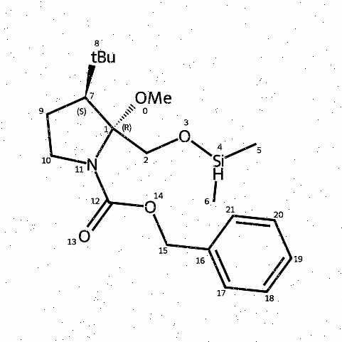 CO[C@@]1(CO[SiH](C)C)[C@H](C(C)(C)C)CCN1C(=O)OCc1ccccc1